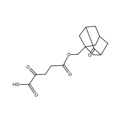 O=C(CCC(=O)C(=O)O)OCC12CC3CC(C1)C(=O)C(C3)C2